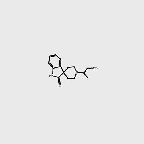 CC(CO)N1CCC2(CC1)C(=O)Nc1ccccc12